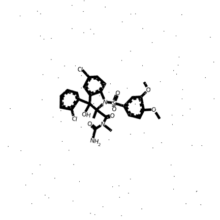 COc1ccc(S(=O)(=O)N2c3ccc(Cl)cc3C(O)(c3ccccc3Cl)C2(C)C(=O)N(C)C(N)=O)cc1OC